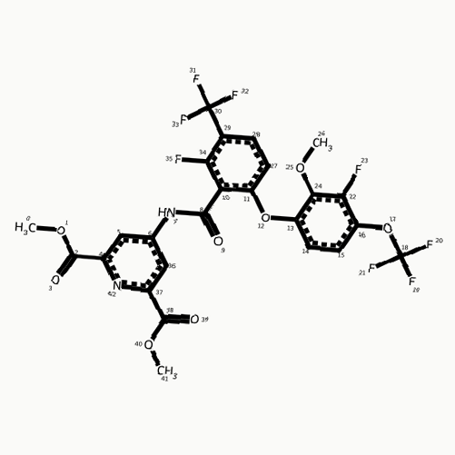 COC(=O)c1cc(NC(=O)c2c(Oc3ccc(OC(F)(F)F)c(F)c3OC)ccc(C(F)(F)F)c2F)cc(C(=O)OC)n1